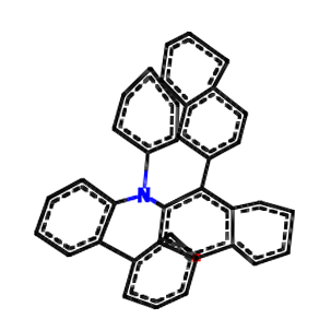 c1ccc(-c2ccccc2N(c2ccccc2)c2ccc3ccccc3c2-c2ccc3ccccc3c2)cc1